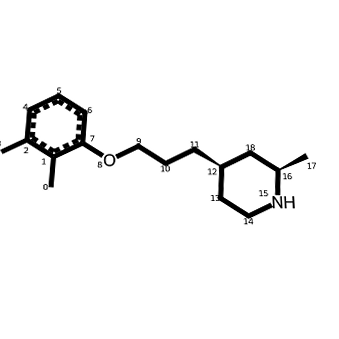 Cc1c(Br)cccc1OCCC[C@@H]1CCN[C@H](C)C1